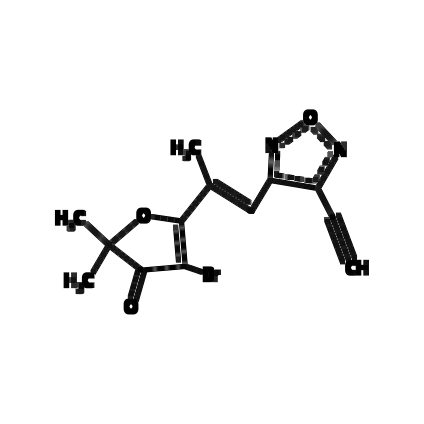 C#Cc1nonc1/C=C(\C)C1=C(Br)C(=O)C(C)(C)O1